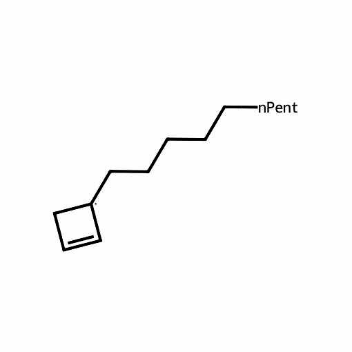 CCCCCCCCCC[C]1C=CC1